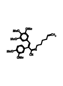 C=CCCCC/N=C(C#N)\C(=C\c1cc(OC)c(OC)c(OC)c1)c1ccc(OC)c(OC)c1